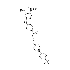 CC(C)(C)c1ccc(N2CCN(CCCC(=O)N3CCC(Oc4ccc([N+](=O)[O-])c(CF)c4)CC3)CC2)cc1